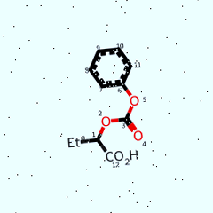 CCC(OC(=O)Oc1ccccc1)C(=O)O